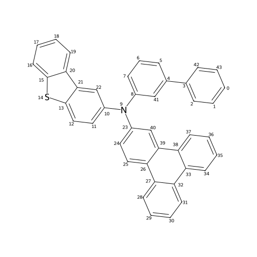 c1ccc(-c2cccc(N(c3ccc4sc5ccccc5c4c3)c3ccc4c5ccccc5c5ccccc5c4c3)c2)cc1